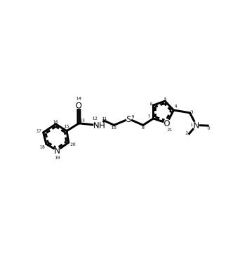 CN(C)Cc1ccc(CSCCNC(=O)c2cccnc2)o1